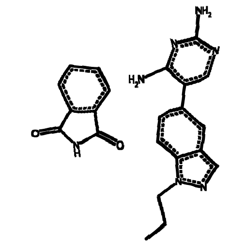 CCCn1ncc2cc(-c3cnc(N)nc3N)ccc21.O=C1NC(=O)c2ccccc21